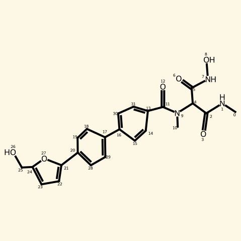 CNC(=O)C(C(=O)NO)N(C)C(=O)c1ccc(-c2ccc(-c3ccc(CO)o3)cc2)cc1